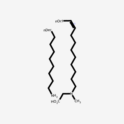 CCCCCCCC/C=C\CCCCCCCCN(C)CC(=O)O.CCCCCCCCCCCCCCCCCCN